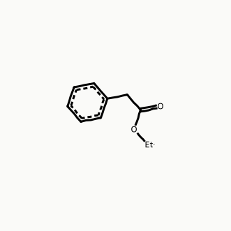 C[CH]OC(=O)Cc1ccccc1